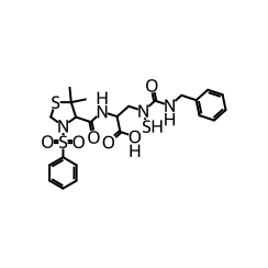 CC1(C)SCN(S(=O)(=O)c2ccccc2)C1C(=O)NC(CN(S)C(=O)NCc1ccccc1)C(=O)O